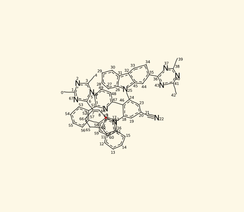 Cc1nc(C)nc(C2=Cc3c(c4ccccc4n3-c3cc(C#N)cc(-n4c5ccccc5c5ccc(-c6nc(C)nc(C)n6)cc54)c3-c3cccc(-c4ccccc4-c4ccccc4)n3)CC2)n1